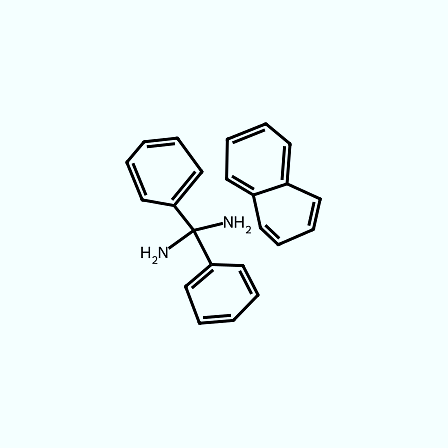 NC(N)(c1ccccc1)c1ccccc1.c1ccc2ccccc2c1